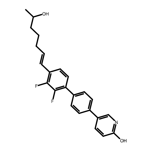 CC(O)CCC/C=C/c1ccc(-c2ccc(-c3ccc(O)nc3)cc2)c(F)c1F